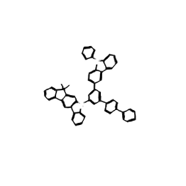 CC1(C)c2ccccc2-c2cc3c4ccccc4n(-c4cc(-c5ccc(-c6ccccc6)cc5)cc(-c5ccc6c(c5)c5ccccc5n6-c5ccccc5)c4)c3cc21